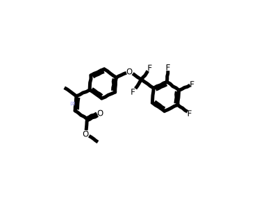 COC(=O)/C=C(/C)c1ccc(OC(F)(F)c2ccc(F)c(F)c2F)cc1